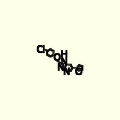 Clc1ccc(OCc2nc3ncc(-c4ccco4)cc3[nH]2)cc1